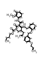 C=CCOc1cccc(COc2cnccc2CNC2=C(C(=S)Nc3cccc(F)c3OC)C(=O)N(C(=O)OCCCC)CC2CC=C)c1